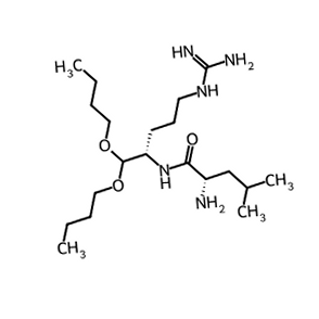 CCCCOC(OCCCC)[C@H](CCCNC(=N)N)NC(=O)[C@@H](N)CC(C)C